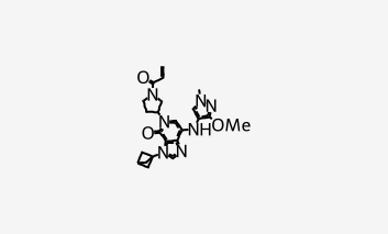 C=CC(=O)N1CCC(n2cc(Nc3cn(C)nc3OC)c3ncn(C45CC(C4)C5)c3c2=O)C1